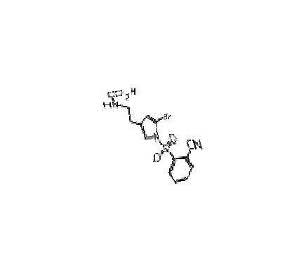 N#Cc1ccccc1S(=O)(=O)n1cc(CCNC(=O)O)cc1Br